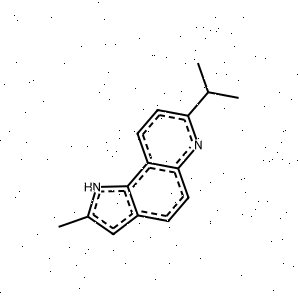 Cc1cc2ccc3nc(C(C)C)ccc3c2[nH]1